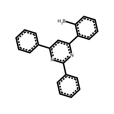 Bc1ccccc1-c1cc(-c2ccccc2)nc(-c2ccccc2)n1